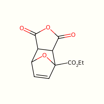 CCOC(=O)C12C=CC(O1)C1C(=O)OC(=O)C12